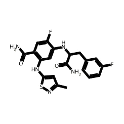 Cc1cc(Nc2cc(NC(Cc3cccc(F)c3)C(N)=O)c(F)cc2C(N)=O)sn1